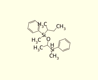 CCC(C)[Si](C)(OC(C)[SiH](C)c1ccccc1)c1ccccc1